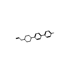 C=CCC1CCC(c2ccc(-c3ccc(F)cc3)cc2)CC1